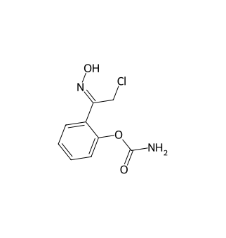 NC(=O)Oc1ccccc1C(CCl)=NO